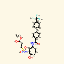 COC(=O)CCS(=O)(=O)NC1=C(O)CC=CC(NC(=O)c2ccc(-c3ccc(C(F)(F)F)cc3)cc2)=C1